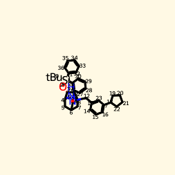 CC(C)(C)[Si](O[C@H]1C2CC3CC(N2)C1N(Cc1cccc(C2CCCC2)c1)C3)(c1ccccc1)c1ccccc1